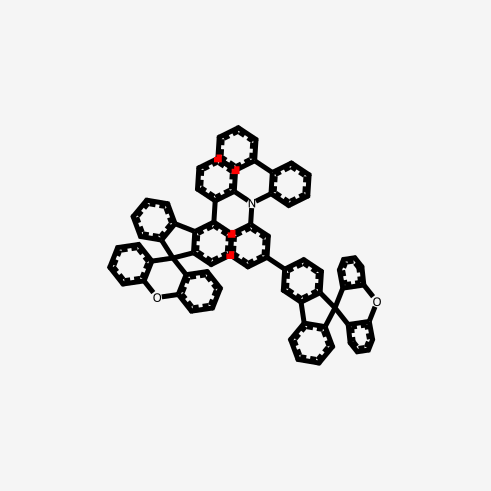 c1ccc(-c2ccccc2N(c2cccc(-c3ccc4c(c3)-c3ccccc3C43c4ccccc4Oc4ccccc43)c2)c2ccccc2-c2cccc3c2-c2ccccc2C32c3ccccc3Oc3ccccc32)cc1